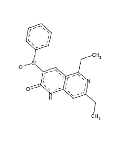 CCc1cc2[nH]c(=O)c([S+]([O-])c3ccccc3)cc2c(CC)n1